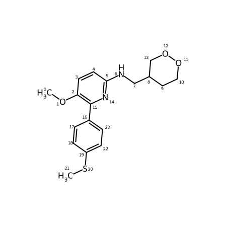 COc1ccc(NCC2CCOOC2)nc1-c1ccc(SC)cc1